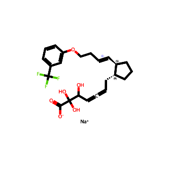 O=C([O-])C(O)(O)C(O)C=C=CC[C@H]1CCC[C@@H]1/C=C/CCOc1cccc(C(F)(F)F)c1.[Na+]